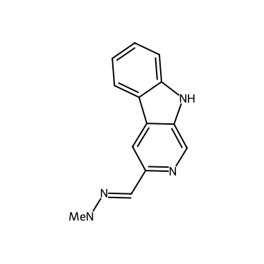 CNN=Cc1cc2c(cn1)[nH]c1ccccc12